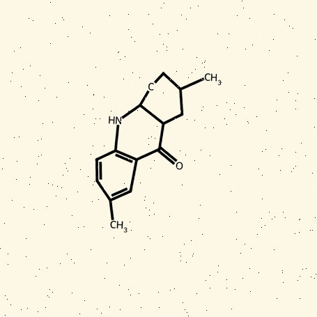 Cc1ccc2c(c1)C(=O)C1CC(C)CCC1N2